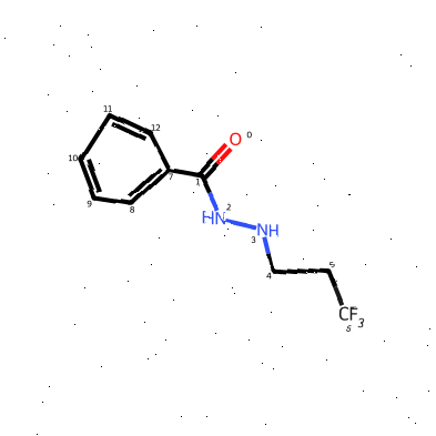 O=C(NNCCC(F)(F)F)c1ccccc1